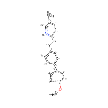 CCCCCCOc1ccc(-c2ccc(CCc3ccc(CCCC)cn3)cc2)cc1